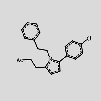 CC(=O)CCc1ccc(-c2ccc(Cl)cc2)n1CCc1ccccc1